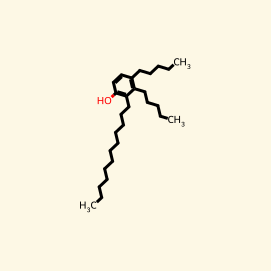 CCCCCCCCCCCCc1c(O)ccc(CCCCC)c1CCCCC